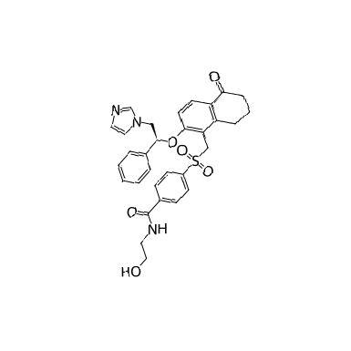 O=C(NCCO)c1ccc(S(=O)(=O)Cc2c(O[C@H](Cn3ccnc3)c3ccccc3)ccc3c2CCCC3=O)cc1